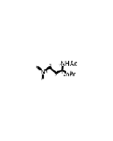 CCCC(CCN(C)C)NC(C)=O